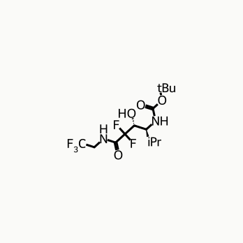 CC(C)[C@H](NC(=O)OC(C)(C)C)[C@@H](O)C(F)(F)C(=O)NCC(F)(F)F